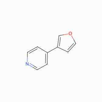 [c]1cocc1-c1ccncc1